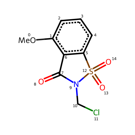 COc1cccc2c1C(=O)N(CCl)S2(=O)=O